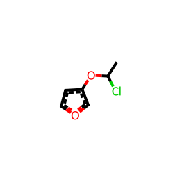 CC(Cl)Oc1ccoc1